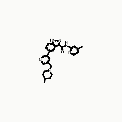 Cc1ccnc(NC(=O)c2n[nH]c3ccc(-c4cncc(CN5CCC(C)CC5)c4)cc23)c1